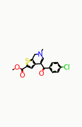 COC(=O)c1cc2c(s1)CN(C)C=C2C(=O)c1ccc(Cl)cc1